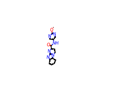 COc1ncc(NC(=O)c2ccn3c(n2)nc2ccccc23)cn1